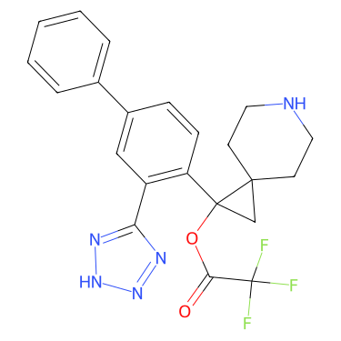 O=C(OC1(c2ccc(-c3ccccc3)cc2-c2nn[nH]n2)CC12CCNCC2)C(F)(F)F